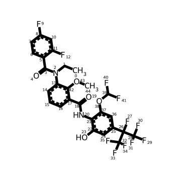 CCN(C(=O)c1ccc(F)cc1F)c1cccc(C(=O)Nc2c(O)cc(C(F)(C(F)(F)F)C(F)(F)F)cc2OC(F)F)c1OC